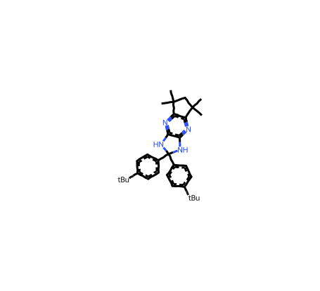 CC(C)(C)c1ccc(C2(c3ccc(C(C)(C)C)cc3)Nc3nc4c(nc3N2)C(C)(C)CC4(C)C)cc1